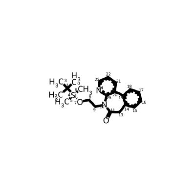 CC(C)(C)[Si](C)(C)OCCN1C(=O)Cc2ccccc2-c2cccnc21